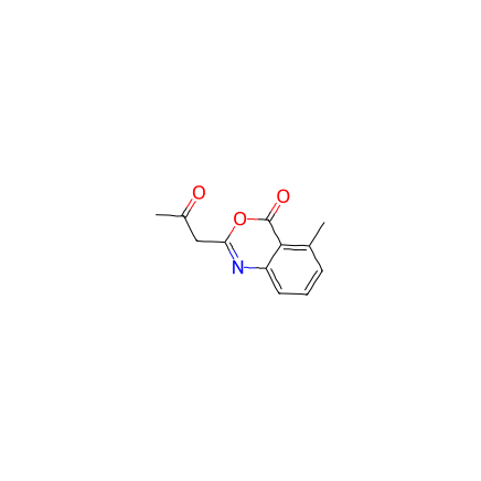 CC(=O)Cc1nc2cccc(C)c2c(=O)o1